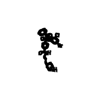 O=C(NCCCC1CCNCC1)c1ccc(S(=O)(=O)N(Oc2ccc(Br)cc2Cl)c2ccccc2)cc1